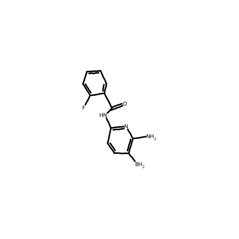 Bc1ccc(NC(=O)c2ccccc2F)nc1N